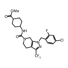 COC(=O)C1CCC(NC(=O)N2CCc3c(C(F)(F)F)nn(Cc4ccc(Cl)cc4F)c3C2)CC1